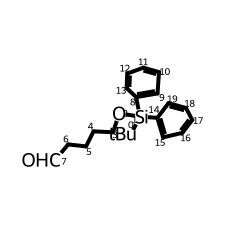 CC(C)(C)[Si](OCCCCC=O)(c1ccccc1)c1ccccc1